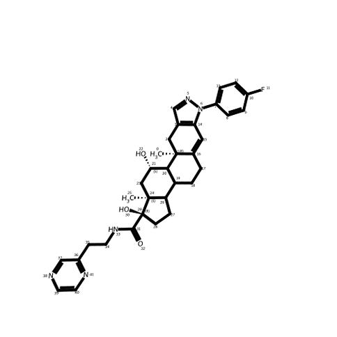 C[C@]12Cc3cnn(-c4ccc(F)cc4)c3C=C1CCC1C2[C@@H](O)C[C@@]2(C)C1CC[C@]2(O)C(=O)NCCc1cnccn1